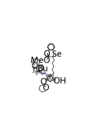 CCCCC(C)(C)[C@@H](/C=C/[C@@H]1[C@@H](CCCCCC([Se]c2ccccc2)C(=O)OC)[C@@H](O)C[C@H]1OC1CCCCO1)OC1CCCCO1